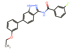 CCOc1cccc(-c2ccc3c(NC(=O)c4cccc(F)c4)n[nH]c3c2)c1